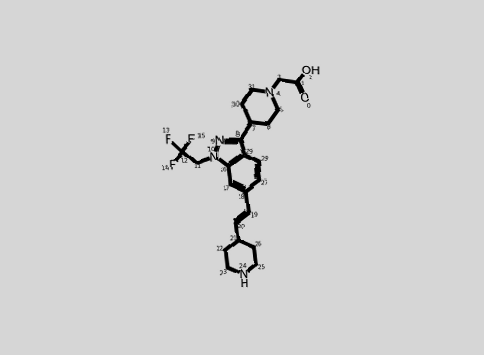 O=C(O)CN1CCC(c2nn(CC(F)(F)F)c3cc(C=CC4CCNCC4)ccc23)CC1